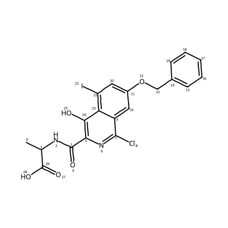 CC(NC(=O)c1nc(Cl)c2cc(OCc3ccccc3)cc(I)c2c1O)C(=O)O